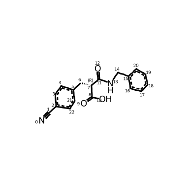 N#Cc1ccc(C[C@@H](C(=O)O)C(=O)NCc2ccccc2)cc1